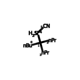 CCCCC(CCC)(CCC)[SiH2]C#N